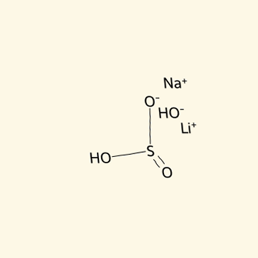 O=S([O-])O.[Li+].[Na+].[OH-]